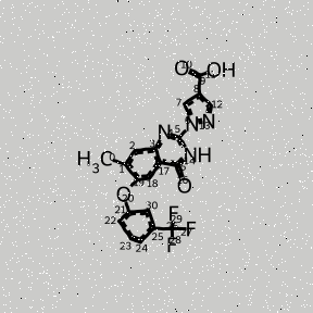 Cc1cc2nc(-n3cc(C(=O)O)cn3)[nH]c(=O)c2cc1Oc1cccc(C(F)(F)F)c1